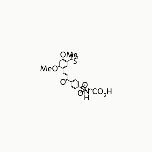 COc1cc(OC)c(-c2cccs2)cc1C=CC(=O)c1ccc(S(=O)(=O)NCC(=O)O)cc1